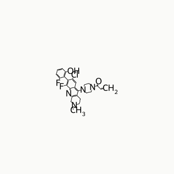 C=CC(=O)N1CCN(c2c3c(nc4c(F)c(-c5c(O)cccc5F)c(Cl)cc24)CN(C)CC3)CC1